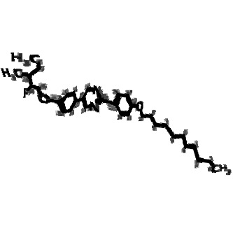 CCCCCCCCCCCOc1ccc(-c2ncc(-c3ccc(OCC(F)C(C)CC)cc3)cn2)cc1